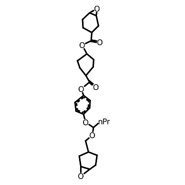 CCCC(OCC1CCC2OC2C1)Oc1ccc(OC(=O)C2CCC(OC(=O)C3CCC4OC4C3)CC2)cc1